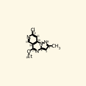 CCOc1nc2cc(C)nn2c2cc(Cl)ncc12